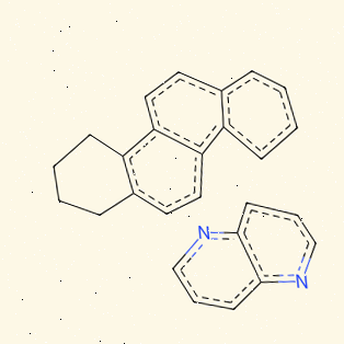 c1ccc2c(c1)ccc1c3c(ccc12)CCCC3.c1cnc2cccnc2c1